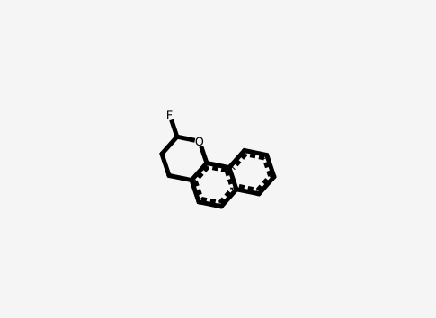 FC1CCc2ccc3ccccc3c2O1